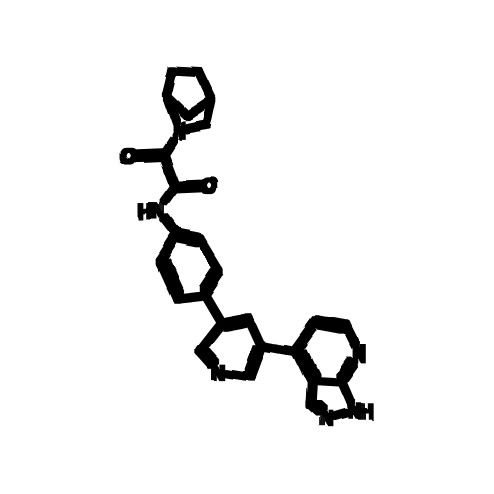 O=C(Nc1ccc(-c2cncc(-c3ccnc4[nH]ncc34)c2)cc1)C(=O)N1CC2CCC1C2